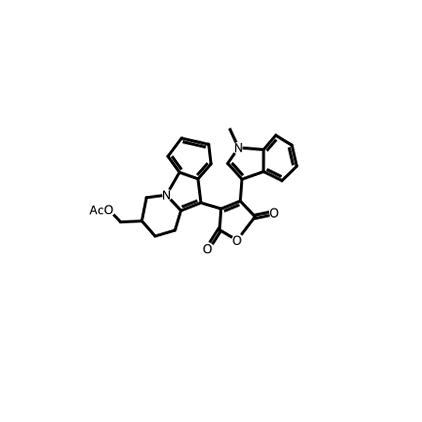 CC(=O)OCC1CCc2c(C3=C(c4cn(C)c5ccccc45)C(=O)OC3=O)c3ccccc3n2C1